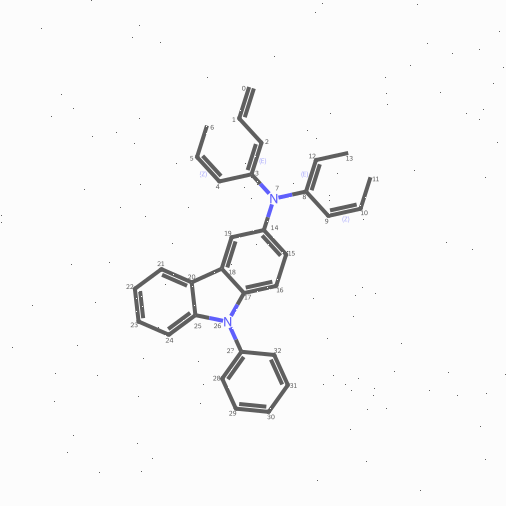 C=C/C=C(\C=C/C)N(C(/C=C\C)=C/C)c1ccc2c(c1)c1ccccc1n2-c1ccccc1